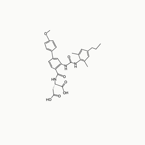 CCCc1cc(C)c(NC(=O)Nc2cc(-c3ccc(OC)cc3)ccc2C(=O)N[C@@H](CC(=O)O)C(=O)O)c(C)c1